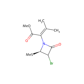 COC(=O)C(=C(C)C)N1C(=O)C(Br)[C@H]1SC